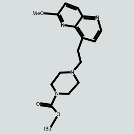 COc1ccc2nccc(CCN3CCN(C(=O)OC(C)(C)C)CC3)c2n1